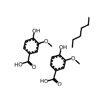 CCCCCC.COc1cc(C(=O)O)ccc1O.COc1cc(C(=O)O)ccc1O